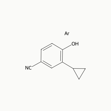 N#Cc1ccc(O)c(C2CC2)c1.[Ar]